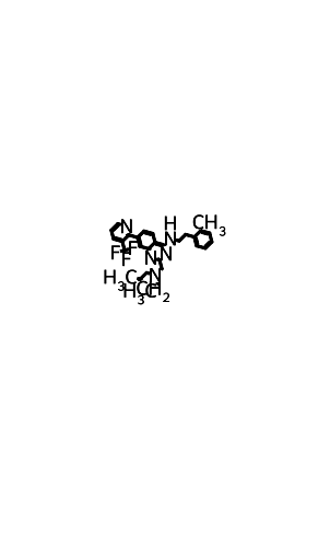 C=C(C)CN(CC)Cc1nc(NCCc2ccccc2C)c2ccc(-c3ncccc3C(F)(F)F)cc2n1